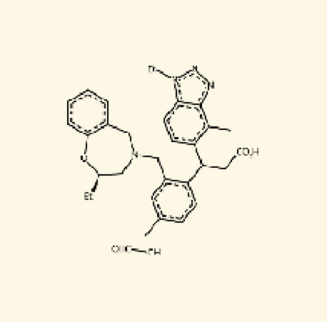 CC[C@@H]1CN(Cc2cc(C)ccc2C(CC(=O)O)c2ccc3c(nnn3CC)c2C)Cc2ccccc2O1.O=CO